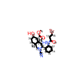 COC(=O)[C@@H]1[C@H]2C[C@@H](c3ccccc3NC(=O)CCBr)N(C#N)C[C@@H]2CC[C@@H]1O